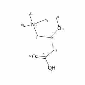 CO[C@H](CC(=O)O)C[N+](C)(C)C